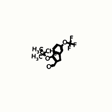 C[Si](C)(C)OC1=C(C=O)Cc2cc(OC(F)(F)F)ccc21